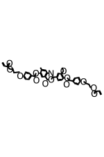 C=CC(=O)OCCCOc1ccc(C(=O)Oc2cc3c(=O)oc(-c4ccc(OC(=O)c5ccc(OCCCOC(=O)C=C)cc5)c(OC)c4)nc3cc2C)cc1